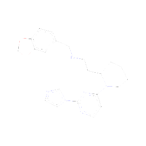 c1cn(-c2nccc(N3CCCCC3CCNCc3ccc4c(c3)OCO4)n2)cn1